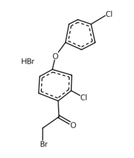 Br.O=C(CBr)c1ccc(Oc2ccc(Cl)cc2)cc1Cl